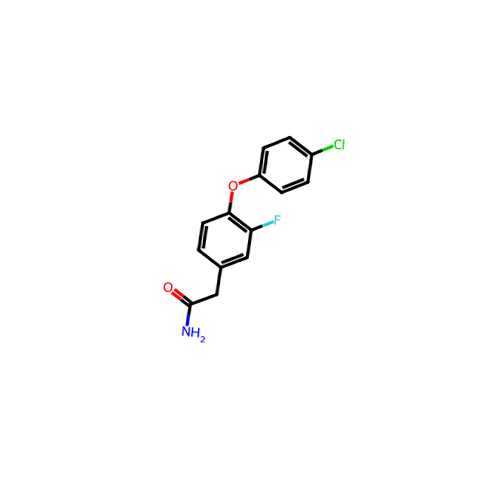 NC(=O)Cc1ccc(Oc2ccc(Cl)cc2)c(F)c1